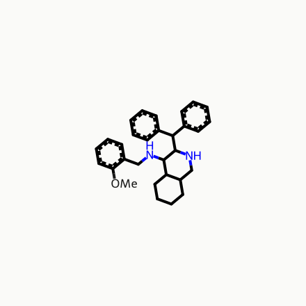 COc1ccccc1CNC1C2CCCCC2CNC1C(c1ccccc1)c1ccccc1